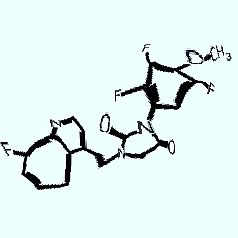 COc1c(F)cc(N2C(=O)CN(Cc3ccnc4c(F)cccc34)C2=O)c(F)c1F